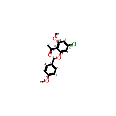 COc1ccc(COc2cc(Cl)cc(OC)c2C(C)=O)cc1